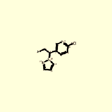 FCC(c1ccc(Cl)nc1)n1cccn1